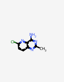 Cc1nc(N)c2nc(Cl)ccc2n1